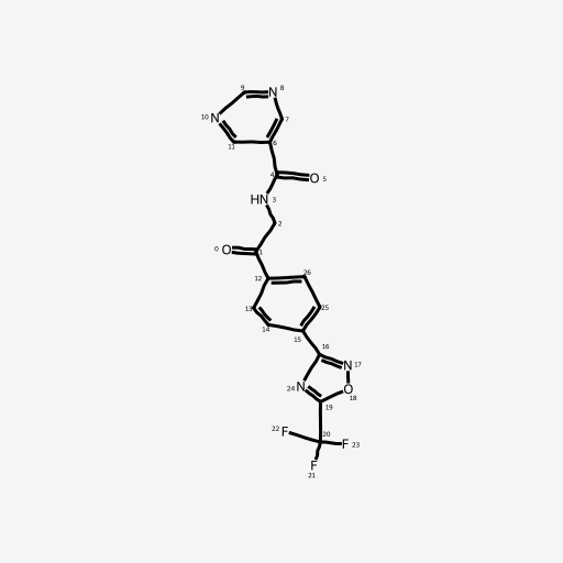 O=C(CNC(=O)c1cncnc1)c1ccc(-c2noc(C(F)(F)F)n2)cc1